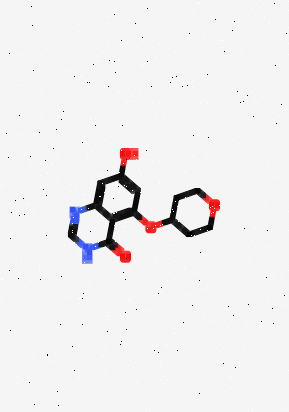 O=c1[nH]cnc2cc(O)cc(OC3CCOCC3)c12